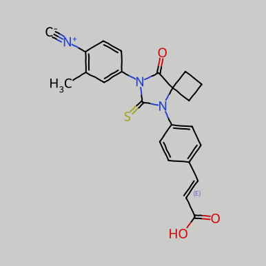 [C-]#[N+]c1ccc(N2C(=O)C3(CCC3)N(c3ccc(/C=C/C(=O)O)cc3)C2=S)cc1C